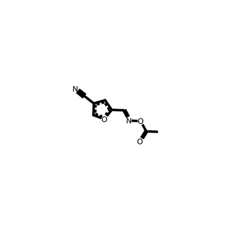 CC(=O)O/N=C/c1cc(C#N)co1